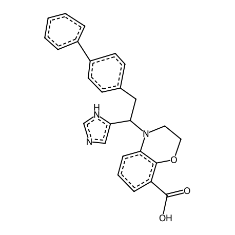 O=C(O)c1cccc2c1OCCN2C(Cc1ccc(-c2ccccc2)cc1)c1cnc[nH]1